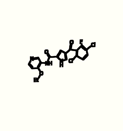 CCOc1ccncc1NC(=O)c1cc(C(=O)c2c(Cl)ccc(Cl)c2F)c[nH]1